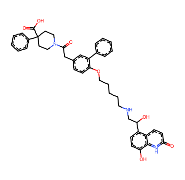 O=C(Cc1ccc(OCCCCCNCC(O)c2ccc(O)c3[nH]c(=O)ccc23)c(-c2ccccc2)c1)N1CCC(C(=O)O)(c2ccccc2)CC1